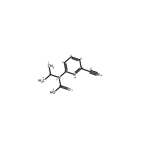 CC(C)N(C(=O)O)c1cccc(C#N)n1